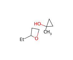 CC1(O)CC1.CCC1CCO1